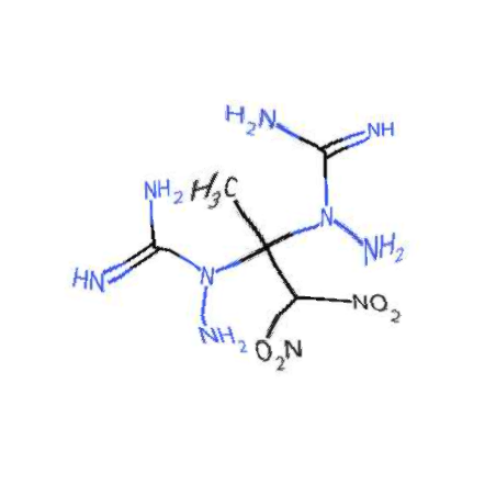 CC(C([N+](=O)[O-])[N+](=O)[O-])(N(N)C(=N)N)N(N)C(=N)N